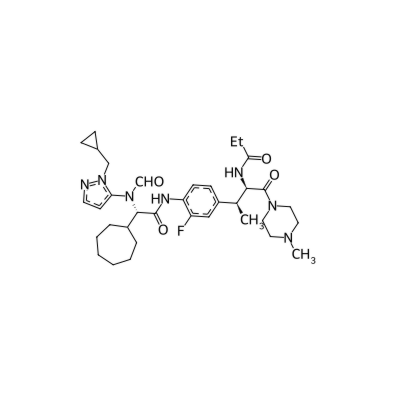 CCC(=O)N[C@@H](C(=O)N1CCN(C)CC1)[C@@H](C)c1ccc(NC(=O)[C@H](C2CCCCCC2)N(C=O)c2ccnn2CC2CC2)c(F)c1